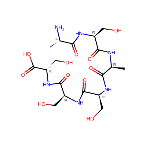 C[C@H](N)C(=O)N[C@@H](CO)C(=O)N[C@@H](C)C(=O)N[C@@H](CO)C(=O)N[C@@H](CO)C(=O)N[C@@H](CO)C(=O)O